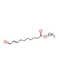 COC(=O)CCCCCC/C=C/C=O